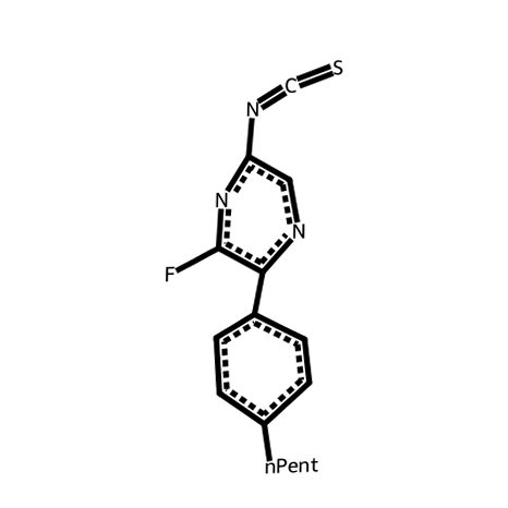 CCCCCc1ccc(-c2ncc(N=C=S)nc2F)cc1